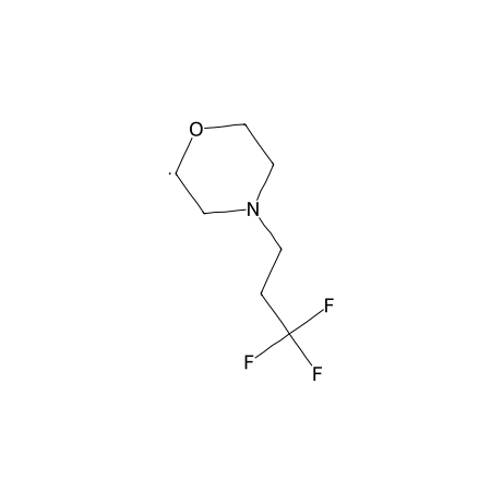 FC(F)(F)CCN1C[CH]OCC1